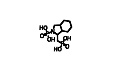 O=P(O)(O)CC1C2CCCCC2CN1P(=O)(O)O